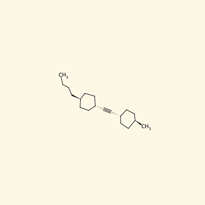 CCCC[C@H]1CC[C@H](C#C[C@H]2CC[C@H](C)CC2)CC1